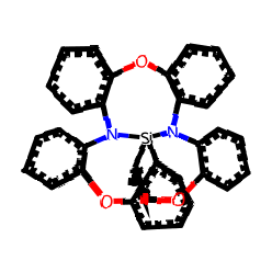 c1ccc2c(c1)Oc1ccccc1N1c3ccccc3Oc3ccccc3[Si]13c1ccccc1Oc1ccccc1N23